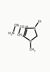 CC(=O)O.CCN1C=CN(C)C1.N#CN